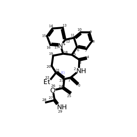 C=C1NC(=C)C2c3ccccc3-c3cccc[n+]3C2CC/C(CC)=C\1C(=C)OC(C)=N